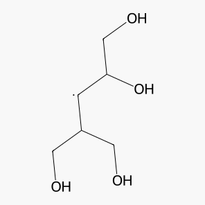 OCC(O)[CH]C(CO)CO